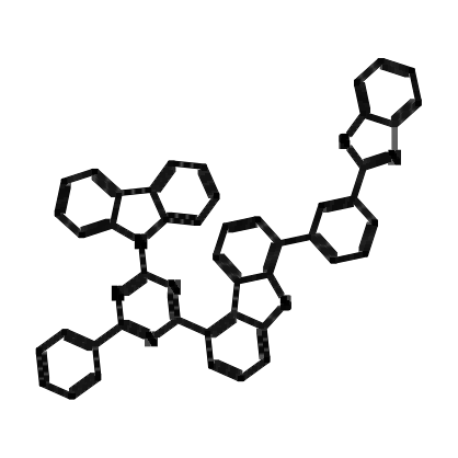 c1ccc(-c2nc(-c3cccc4sc5c(-c6cccc(-c7nc8ccccc8s7)c6)cccc5c34)nc(-n3c4ccccc4c4ccccc43)n2)cc1